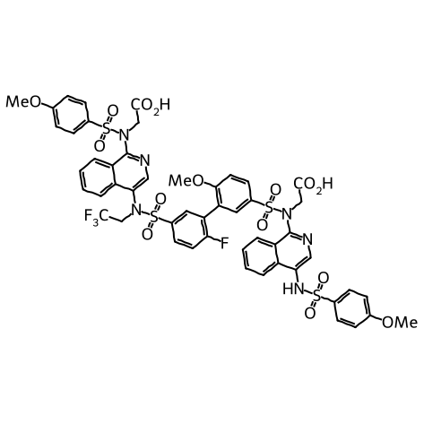 COc1ccc(S(=O)(=O)Nc2cnc(N(CC(=O)O)S(=O)(=O)c3ccc(OC)c(-c4cc(S(=O)(=O)N(CC(F)(F)F)c5cnc(N(CC(=O)O)S(=O)(=O)c6ccc(OC)cc6)c6ccccc56)ccc4F)c3)c3ccccc23)cc1